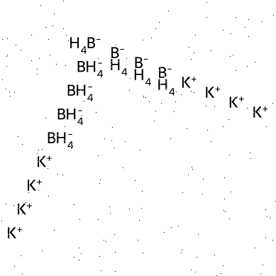 [BH4-].[BH4-].[BH4-].[BH4-].[BH4-].[BH4-].[BH4-].[BH4-].[K+].[K+].[K+].[K+].[K+].[K+].[K+].[K+]